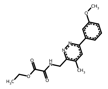 CCOC(=O)C(=O)NCc1nnc(-c2cccc(OC)c2)cc1C